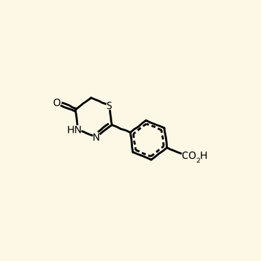 O=C1CSC(c2ccc(C(=O)O)cc2)=NN1